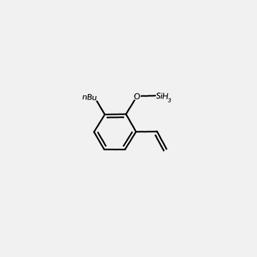 C=Cc1cccc(CCCC)c1O[SiH3]